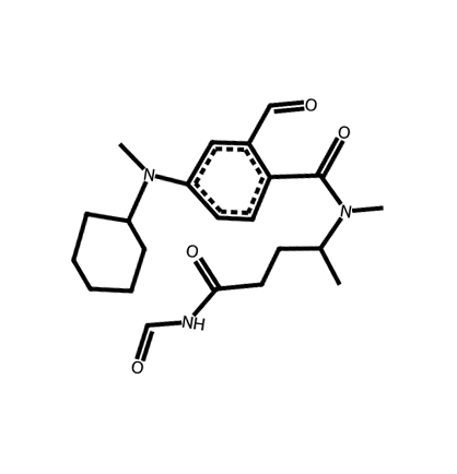 CC(CCC(=O)NC=O)N(C)C(=O)c1ccc(N(C)C2CCCCC2)cc1C=O